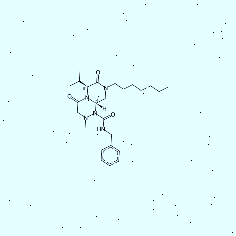 CCCCCCCN1C[C@H]2N(C(=O)CN(C)N2C(=O)NCc2ccccc2)[C@@H](C(C)C)C1=O